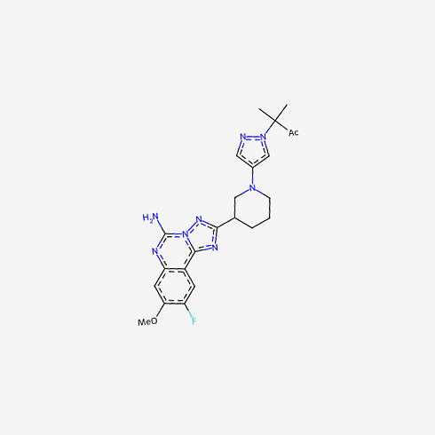 COc1cc2nc(N)n3nc(C4CCCN(c5cnn(C(C)(C)C(C)=O)c5)C4)nc3c2cc1F